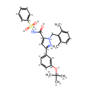 Cc1cccc(C)c1Cn1nc(-c2cccc(OC(C)(C)C)c2)cc1C(=O)NS(=O)(=O)c1ccccc1